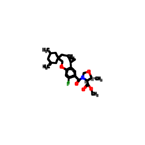 C=C1CC(C)CC(CC)(COc2cc(F)c(C(=O)N3CO[C@H](C)[C@H]3C(=O)OC)cc2C2CC2)C1